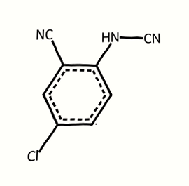 N#CNc1c[c]c(Cl)cc1C#N